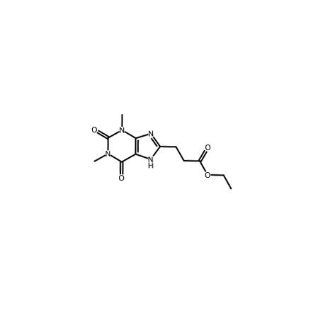 CCOC(=O)CCc1nc2c([nH]1)c(=O)n(C)c(=O)n2C